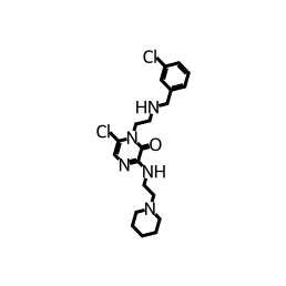 O=c1c(NCCN2CCCCC2)ncc(Cl)n1CCNCc1cccc(Cl)c1